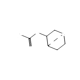 NC(=O)OC1CN2CCC1CC2